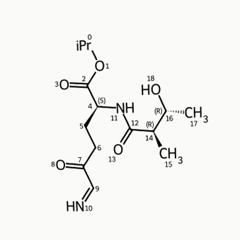 CC(C)OC(=O)[C@H](CCC(=O)C=N)NC(=O)[C@H](C)[C@@H](C)O